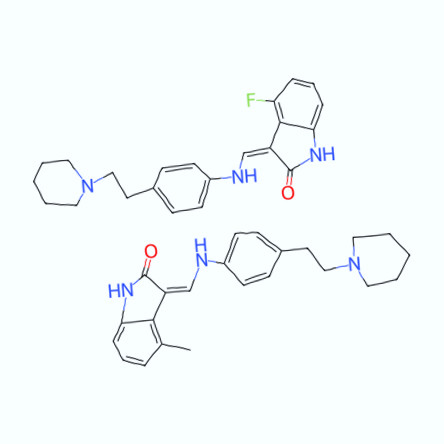 Cc1cccc2c1C(=CNc1ccc(CCN3CCCCC3)cc1)C(=O)N2.O=C1Nc2cccc(F)c2C1=CNc1ccc(CCN2CCCCC2)cc1